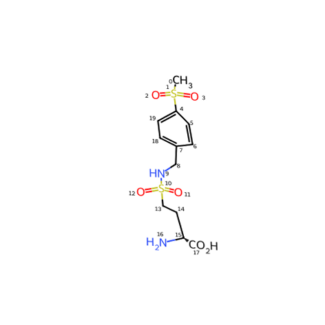 CS(=O)(=O)c1ccc(CNS(=O)(=O)CC[C@H](N)C(=O)O)cc1